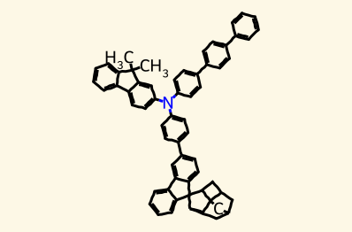 CC1(C)c2ccccc2-c2ccc(N(c3ccc(-c4ccc(-c5ccccc5)cc4)cc3)c3ccc(-c4ccc5c(c4)-c4ccccc4C54C5CC6CC7CC4C7(C6)C5)cc3)cc21